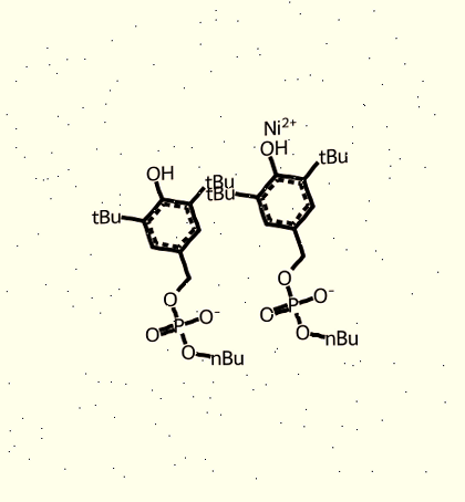 CCCCOP(=O)([O-])OCc1cc(C(C)(C)C)c(O)c(C(C)(C)C)c1.CCCCOP(=O)([O-])OCc1cc(C(C)(C)C)c(O)c(C(C)(C)C)c1.[Ni+2]